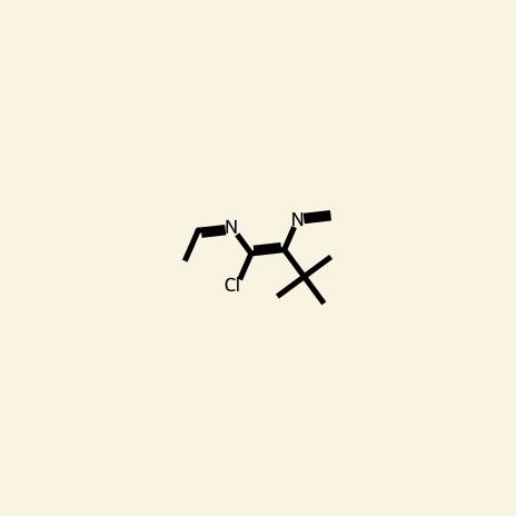 C=N/C(=C(Cl)\N=C/C)C(C)(C)C